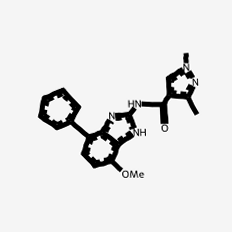 COc1ccc(-c2ccccc2)c2nc(NC(=O)c3cn(C)nc3C)[nH]c12